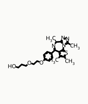 Cc1sc2c(c1C)C(c1ccc(OCCOCCCO)cc1)=N[C@@H](C)c1nnc(C)n1-2